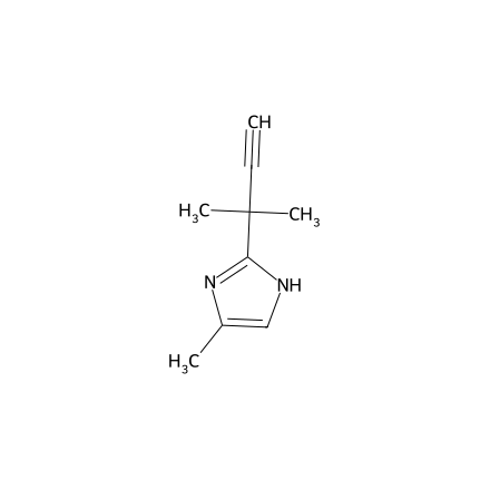 C#CC(C)(C)c1nc(C)c[nH]1